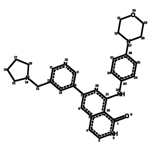 O=c1[nH]ccc2cc(-c3cncc(CN4CCCC4)c3)nc(Nc3ccc(N4CCOCC4)cc3)c12